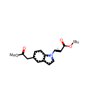 COC(=O)Cc1ccc2c(ccn2/C=C/C(=O)OC(C)(C)C)c1